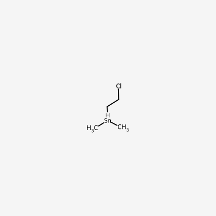 [CH3][SnH]([CH3])[CH2]CCl